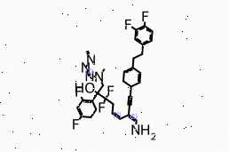 C=N/N=N\N(C)CC(O)(C1=C(F)C=C(F)CC1)C(F)(F)C/C=C\C(C#CC1C=CC(CCc2ccc(F)c(F)c2)=CC1)=C/N